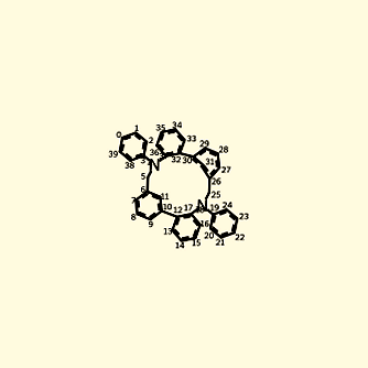 c1ccc(N2Cc3cccc(c3)-c3ccccc3N(c3ccccc3)Cc3cccc(c3)-c3ccccc32)cc1